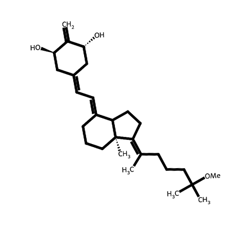 C=C1[C@H](O)CC(=C/C=C2\CCC[C@]3(C)/C(=C(\C)CCCC(C)(C)OC)CCC23)C[C@H]1O